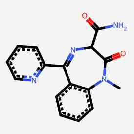 CN1C(=O)C(C(N)=O)N=C(c2ccccn2)c2ccccc21